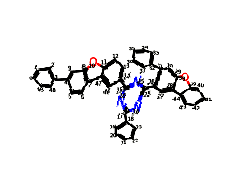 c1ccc(-c2ccc3c(c2)oc2ccc(-c4nc(-c5ccccc5)nc(-c5cc6c(cc5-c5ccccc5)oc5ccccc56)n4)cc23)cc1